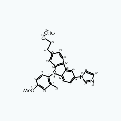 COc1ccc(-n2c3ccc(-n4ccnc4)cc3c3ccc(CCOC=O)cc32)c(C)c1